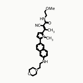 COCCNC(=O)/C(C#N)=C(\C)c1ccc(-c2ccc3cc(NCCN4CCOCC4)ccc3c2)n1C